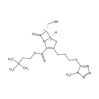 Cn1nnnc1SCCCC1=C(C(=O)OCC[Si](C)(C)C)N2C(=O)[C@H](CO)[C@H]2S1